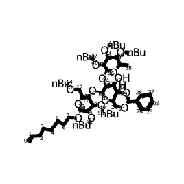 C=CCCCCCCO[C@@H]1OC(COCCCC)[C@@H](O[C@@H]2OC3COC(c4ccccc4)O[C@@H]3C(O)[C@@H]2O[C@@H]2OC(C)[C@@H](OCCCC)C(OCCCC)[C@@H]2OCCCC)C(OCCCC)[C@@H]1OCCCC